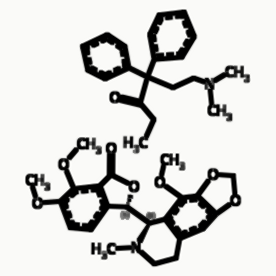 CCC(=O)C(CCN(C)C)(c1ccccc1)c1ccccc1.COc1ccc2c(c1OC)C(=O)O[C@@H]2[C@H]1c2c(cc3c(c2OC)OCO3)CCN1C